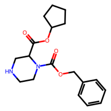 O=C(OC1CCCC1)C1CNCCN1C(=O)OCc1ccccc1